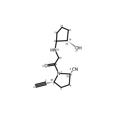 C#C[C@H]1CC[C@@H](C#N)N1C(=O)CNC1CCC[C@@H]1O